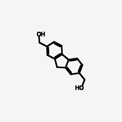 OCc1ccc2c(c1)Cc1cc(CO)ccc1-2